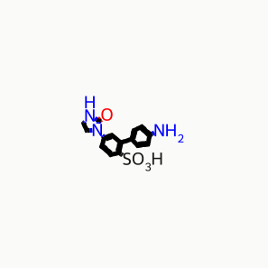 Nc1ccc(-c2cc(N3CCNC3=O)ccc2S(=O)(=O)O)cc1